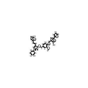 COc1cc(COc2nn(-c3ccccc3)cc2C=Cc2cnco2)ccc1OCc1nc(-c2ccco2)oc1C